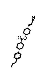 CCCc1ccc([C@H]2CC[C@H](C(=O)O[C@H]3CC[C@H](C=CC#N)CC3)CC2)cc1